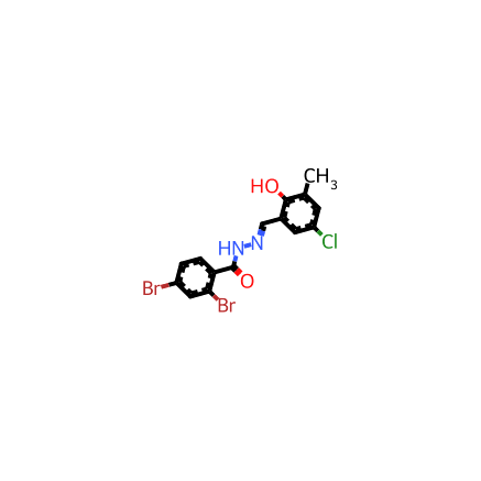 Cc1cc(Cl)cc(/C=N/NC(=O)c2ccc(Br)cc2Br)c1O